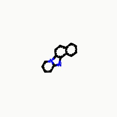 c1ccc2c(c1)ccc1c2nc2ccccn21